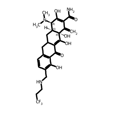 C=C1C(C(N)=O)=C(O)[C@H](N(C)C)[C@@H]2CC3Cc4ccc(CNCCC(F)(F)F)c(O)c4C(=O)C3=C(O)[C@]12O